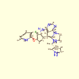 Cc1cccc(Oc2ccc(-c3c4n(c5ncnc(N)c35)CCN4C[C@@H]3CCNC3)cc2F)n1